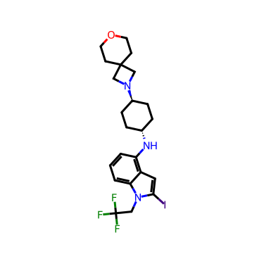 FC(F)(F)Cn1c(I)cc2c(N[C@H]3CC[C@H](N4CC5(CCOCC5)C4)CC3)cccc21